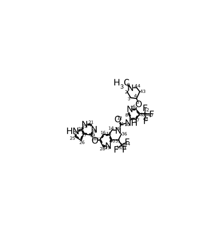 CN1CCC(Oc2ncc(NC(=O)N3Cc4cc(Oc5ncnc6[nH]ccc56)cnc4C(C(F)(F)F)C3)cc2C(F)(F)F)CC1